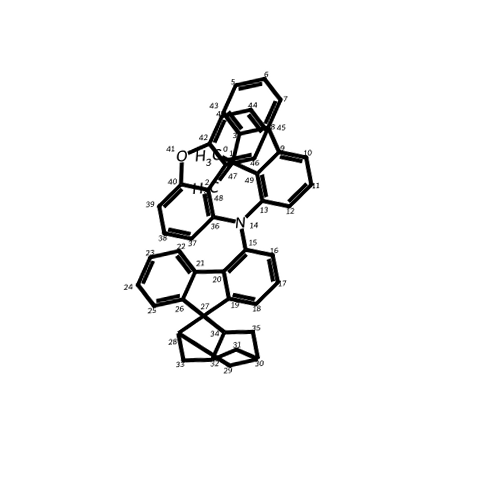 CC1(C)c2ccccc2-c2cccc(N(c3cccc4c3-c3ccccc3C43C4CC5CC(C4)C3C5)c3cccc4oc5ccccc5c34)c21